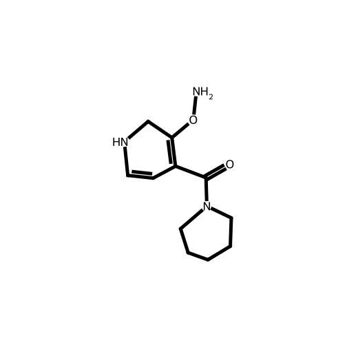 NOC1=C(C(=O)N2CCCCC2)C=CNC1